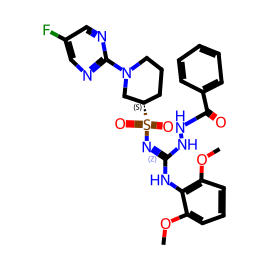 COc1cccc(OC)c1N/C(=N/S(=O)(=O)[C@H]1CCCN(c2ncc(F)cn2)C1)NNC(=O)c1ccccc1